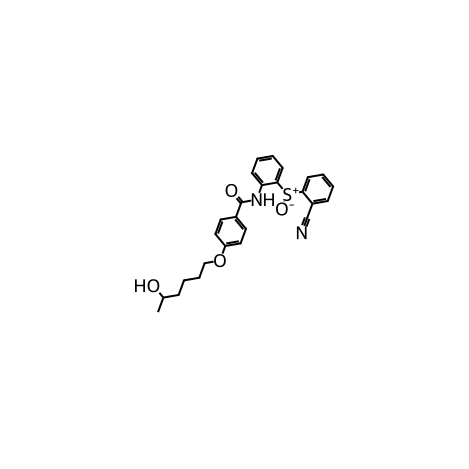 CC(O)CCCCOc1ccc(C(=O)Nc2ccccc2[S+]([O-])c2ccccc2C#N)cc1